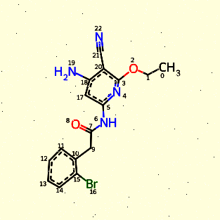 CCOc1nc(NC(=O)Cc2ccccc2Br)cc(N)c1C#N